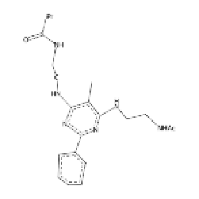 CC(=O)NCCNc1nc(-c2ccccc2)nc(NCCNC(=O)C(C)C)c1C